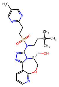 Cc1cnc(CCS(=O)(=O)N(CC[Si](C)(C)C)c2nnc3n2[C@H](CO)COc2ncccc2-3)nc1